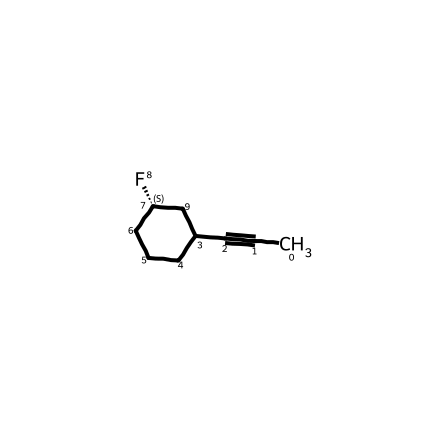 CC#CC1CCC[C@H](F)C1